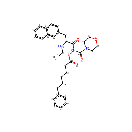 CCN[C@@H](Cc1ccc2ccccc2c1)C(=O)N(OC(=O)CCCCCc1ccccc1)C(=O)N1CCOCC1